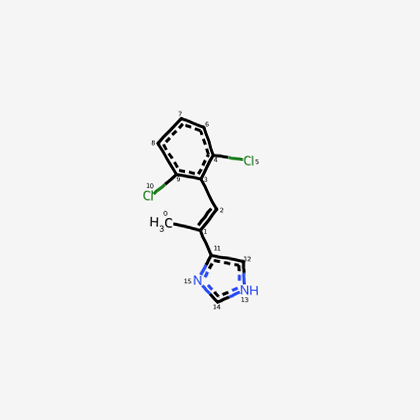 CC(=Cc1c(Cl)cccc1Cl)c1c[nH]cn1